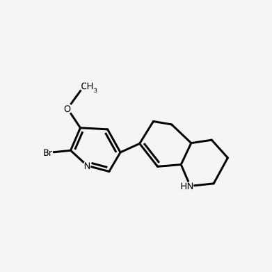 COc1cc(C2=CC3NCCCC3CC2)cnc1Br